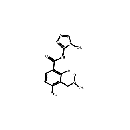 Cn1nnnc1NC(=O)c1ccc(C(F)(F)F)c(C[S+](C)[O-])c1Br